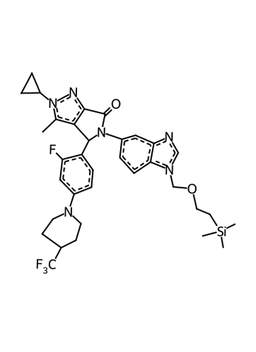 Cc1c2c(nn1C1CC1)C(=O)N(c1ccc3c(c1)ncn3COCC[Si](C)(C)C)C2c1ccc(N2CCC(C(F)(F)F)CC2)cc1F